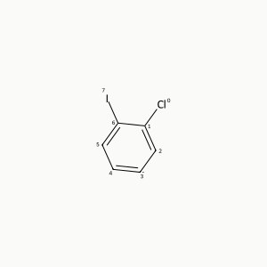 Clc1c[c]ccc1I